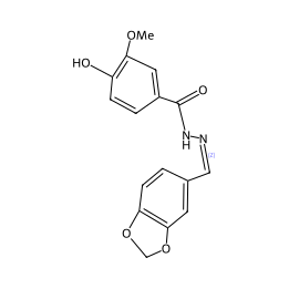 COc1cc(C(=O)N/N=C\c2ccc3c(c2)OCO3)ccc1O